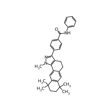 Cn1nc(-c2ccc(C(=O)Nc3ccccc3)cc2)c2c1-c1cc3c(cc1CC2)C(C)(C)CCC3(C)C